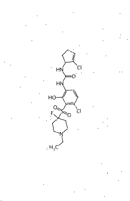 CCN1CCC(F)(S(=O)(=O)c2c(Cl)ccc(NC(=O)NC3CCC=C3Cl)c2O)CC1